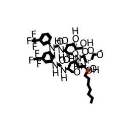 CCCCCCCC(=O)N[C@@H](CC(=O)OC)C(=O)N[C@H]1C(CO)OCC(NC(=O)Nc2cccc(C(F)(F)F)c2)C1O[C@@H]1OC(CO)[C@@H](O)C(O)C1NC(=O)Nc1cccc(C(F)(F)F)c1